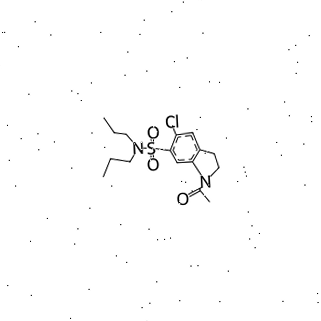 CCCN(CCC)S(=O)(=O)c1cc2c(cc1Cl)CCN2C(C)=O